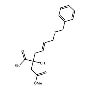 COC(=O)CC(O)(C/C=C/COCc1ccccc1)C(=O)C(C)(C)C